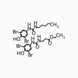 CCCCCNC(=O)Nc1cc(Br)c(O)c(Br)c1.CCOC(=O)CCNC(=O)Nc1cc(Br)c(O)c(Br)c1